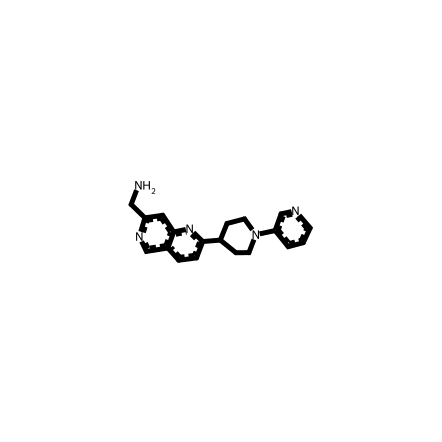 NCc1cc2nc(C3CCN(c4cccnc4)CC3)ccc2cn1